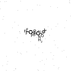 CC1(C)CN(C(=O)c2ncc(S(=O)(=O)c3ccc(C(F)(F)F)cc3F)cc2N)C1